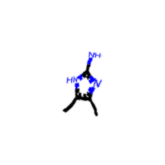 Cc1nc([NH])[nH]c1C